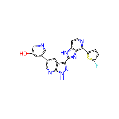 Oc1cncc(-c2cnc3[nH]nc(-c4nc5c(-c6ccc(F)s6)nccc5[nH]4)c3c2)c1